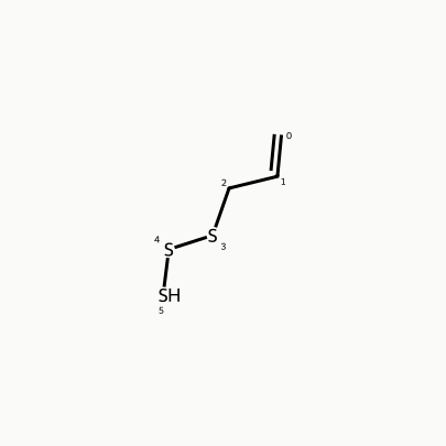 C=CCSSS